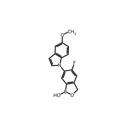 COc1ccc2c(ccn2-c2cc3c(cc2F)COB3O)c1